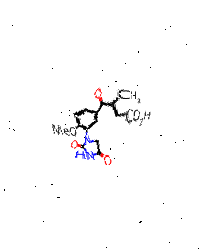 COc1ccc(C(=O)C(C)CC(=O)O)cc1N1CC(=O)NC1=O